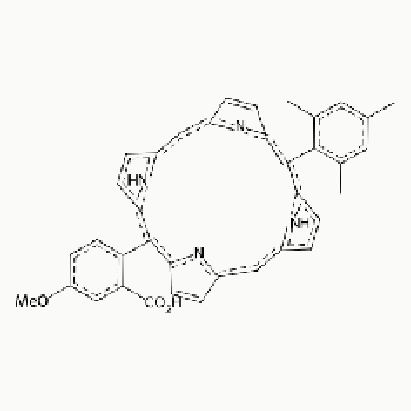 COc1ccc(-c2c3nc(cc4ccc([nH]4)c(-c4c(C)cc(C)cc4C)c4nc(cc5ccc2[nH]5)C=C4)C=C3)c(C(=O)O)c1